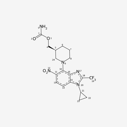 NC(=O)OC[C@H]1CCCN(c2c([N+](=O)[O-])ccc3c2nc(C(F)(F)F)n3C2CC2)C1